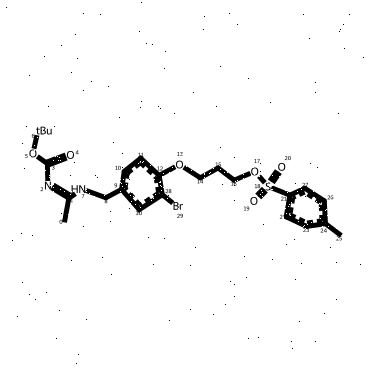 C/C(=N/C(=O)OC(C)(C)C)NCc1ccc(OCCCOS(=O)(=O)c2ccc(C)cc2)c(Br)c1